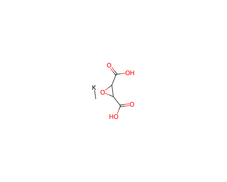 O=C(O)C1OC1C(=O)O.[CH3][K]